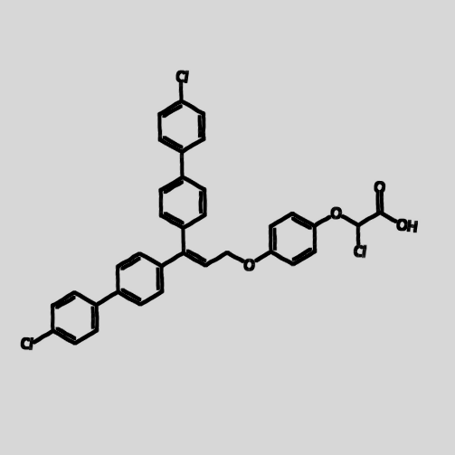 O=C(O)C(Cl)Oc1ccc(OCC=C(c2ccc(-c3ccc(Cl)cc3)cc2)c2ccc(-c3ccc(Cl)cc3)cc2)cc1